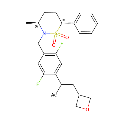 CC(=O)C(CC1COC1)c1cc(F)c(CN2[C@@H](C)CC[C@H](c3ccccc3)S2(=O)=O)cc1F